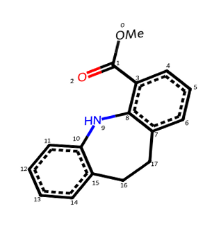 COC(=O)c1cccc2c1Nc1ccccc1CC2